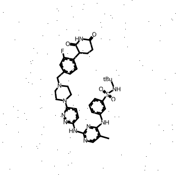 Cc1cnc(Nc2ccc(N3CCN(Cc4ccc(C5CCC(=O)NC5=O)c(F)c4)CC3)nn2)nc1Nc1cccc(S(=O)(=O)NC(C)(C)C)c1